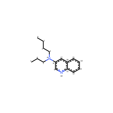 CCCCN(CCC)c1[c]nc2ccccc2c1